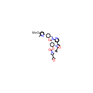 COc1ccc([C@H]2CC[C@H](CN(c3cc(-c4coc(C5CC5)n4)ccn3)C(=O)[C@H]3CC[C@H](OC(=O)N4CC(C5COC5)C4)CC3)CC2)nc1C